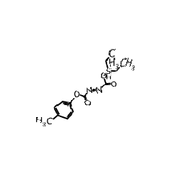 CC[SiH](CC)OC(=O)N=NC(=O)Oc1ccc(C)cc1